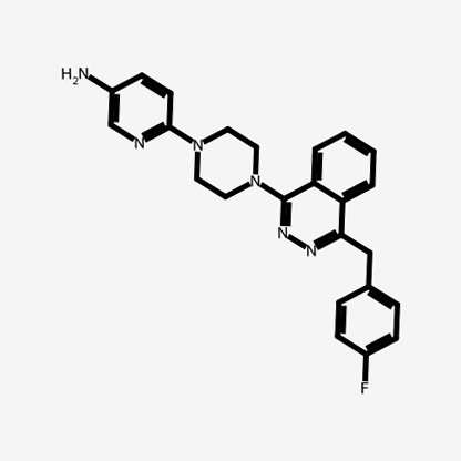 Nc1ccc(N2CCN(c3nnc(Cc4ccc(F)cc4)c4ccccc34)CC2)nc1